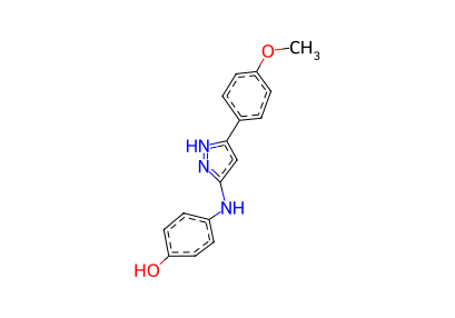 COc1ccc(-c2cc(Nc3ccc(O)cc3)n[nH]2)cc1